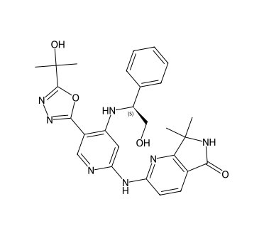 CC(C)(O)c1nnc(-c2cnc(Nc3ccc4c(n3)C(C)(C)NC4=O)cc2N[C@H](CO)c2ccccc2)o1